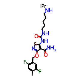 Cc1cc(F)c(COc2nsc(NC(=O)NCCCCCNC(C)C)c2C(N)=O)cc1F